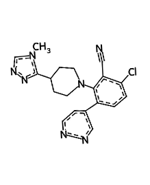 Cn1cnnc1C1CCN(c2c(-c3ccnnc3)ccc(Cl)c2C#N)CC1